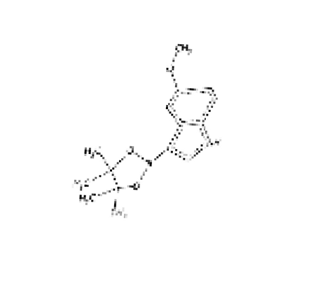 COc1ccc2[nH]cc(B3OC(C)(C)C(C)(C)O3)c2c1